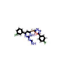 N=C/N=c1/nc(-c2cccc(F)c2)cc(Sc2nnc(-c3ccc(F)cc3)o2)[nH]1